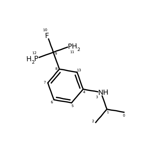 CC(C)Nc1cccc(C(F)(P)P)c1